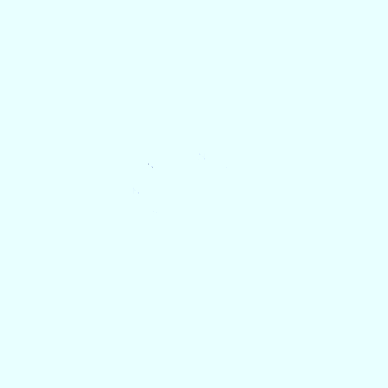 O=C1CCC2=C(N=NC2=O)N1